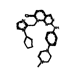 CN1CCN(c2ccc(Nc3ncc4ccc(=O)n(Cc5nccn5C5CCCC5)c4n3)cc2)CC1